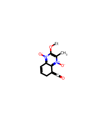 CCOc1c(C)[n+]([O-])c2c([n+]1[O-])C=CCC2=C=O